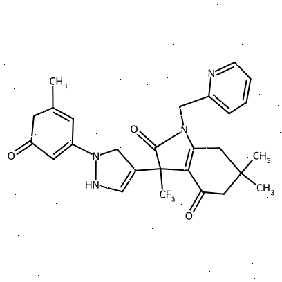 CC1=CC(N2CC(C3(C(F)(F)F)C(=O)N(Cc4ccccn4)C4=C3C(=O)CC(C)(C)C4)=CN2)=CC(=O)C1